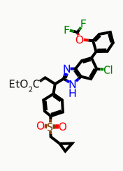 CCOC(=O)CC(c1ccc(S(=O)(=O)CC2CC2)cc1)c1nc2cc(-c3ccccc3OC(F)F)c(Cl)cc2[nH]1